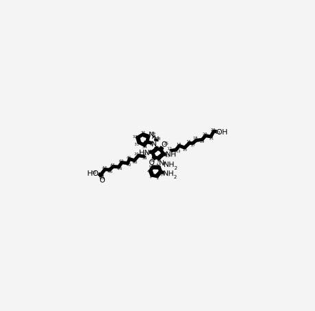 Nc1ccccc1N(N)C1=C(NCCCCCCCCCCCO)C(=O)C(n2nnc3ccccc32)=C(NCCCCCCCCCCC(=O)O)C1=O